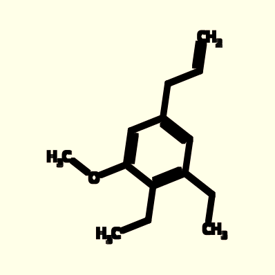 C=CCc1cc(CC)c(CC)c(OC)c1